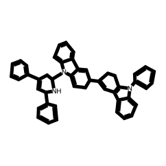 C1=C(c2ccccc2)CC(n2c3c(c4ccccc42)=CC(C2=Cc4c(n(-c5ccccc5)c5ccccc45)CC2)CC=3)NC1c1ccccc1